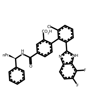 CCC[C@@H](NC(=O)c1ccc(-c2c(Cl)cccc2-c2nc3ccc(F)c(F)c3[nH]2)c(C(=O)O)c1)c1ccccc1